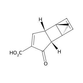 O=C(O)C1=C[C@H]2[C@@H](C1=O)[C@]13C=C[C@@]21C3